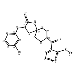 CCSc1ncccc1C(=O)N1CCC2(CC1)CN(Cc1cccc(Br)c1)C(=O)O2